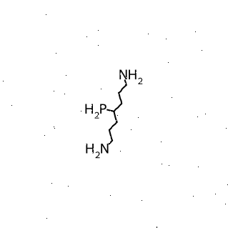 NCCCC(P)CCCN